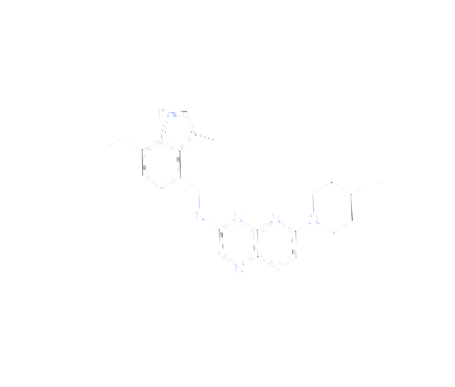 COc1ccc(CNc2cnc3ccc(N4CCC(O)CC4)nc3n2)c2c(C)c[nH]c12